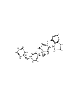 Cc1cccc2c1N(c1ccnc(Nc3ccc(Oc4ccccc4)cc3)n1)CCC2